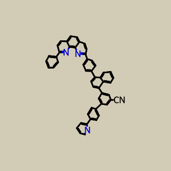 N#Cc1cc(-c2ccc(-c3ccccn3)cc2)cc(-c2ccc(-c3ccc(-c4ccc5ccc6ccc(-c7ccccc7)nc6c5n4)cc3)c3ccccc23)c1